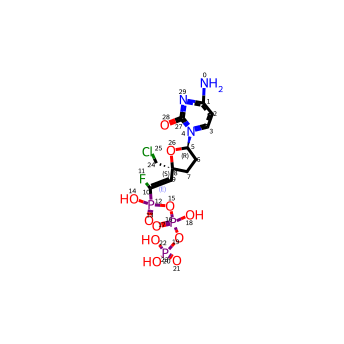 Nc1ccn([C@H]2CC[C@](/C=C(\F)P(=O)(O)OP(=O)(O)OP(=O)(O)O)(CCl)O2)c(=O)n1